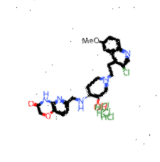 COc1ccc2ncc(Cl)c(CCN3CC[C@@H](NCc4ccc5c(n4)NC(=O)CO5)[C@H](O)C3)c2c1.Cl.Cl.Cl